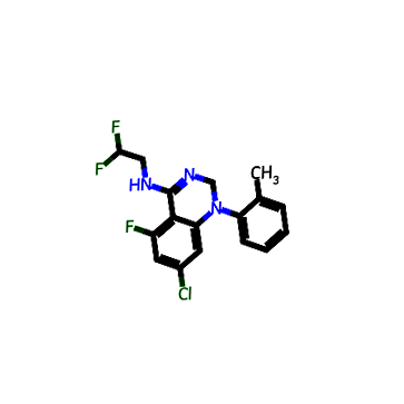 Cc1ccccc1N1CN=C(NCC(F)F)c2c(F)cc(Cl)cc21